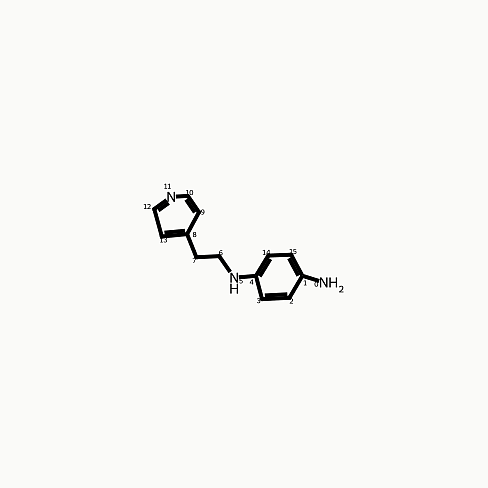 Nc1ccc(NCCc2ccncc2)cc1